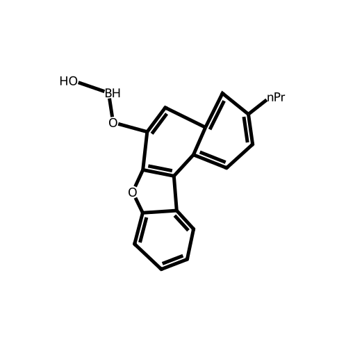 CCCc1ccc2c(c1)cc(OBO)c1oc3ccccc3c12